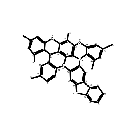 Cc1cc(C)c2c(c1)Oc1c(C)c3c4c5c1B2c1cc(C)ccc1N5c1cc2sc5ccccc5c2cc1B4c1c(C)cc(C)cc1O3